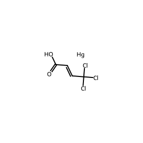 O=C(O)/C=C/C(Cl)(Cl)Cl.[Hg]